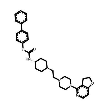 O=C(N[C@H]1CC[C@H](CCN2CCN(c3nccc4c3CCO4)CC2)CC1)Oc1ccc(-c2ccccc2)cc1